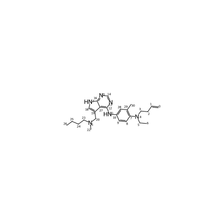 C=CCCN(CC)c1ccc(Nc2ncnc3[nH]cc(CN(C)CCCC)c23)cc1C